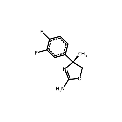 C[C@@]1(c2ccc(F)c(F)c2)COC(N)=N1